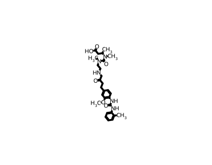 COc1cc(CCC(=O)CNCCN(C)C(=O)N(C)C(C)CC(=O)O)ccc1NC(=O)Nc1ccccc1C